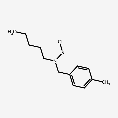 CCCCCN(Cc1ccc(C)cc1)SCl